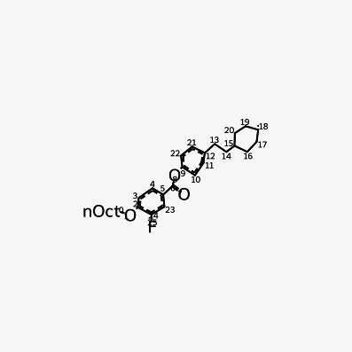 CCCCCCCCOc1ccc(C(=O)Oc2ccc(CCC3CC[CH]CC3)cc2)cc1F